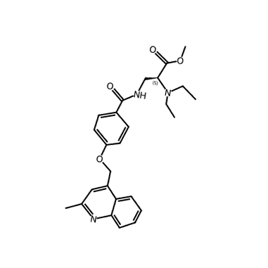 CCN(CC)[C@@H](CNC(=O)c1ccc(OCc2cc(C)nc3ccccc23)cc1)C(=O)OC